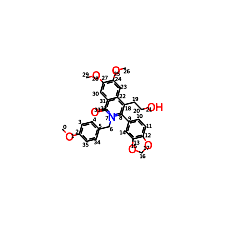 COc1ccc(Cn2c(-c3ccc4c(c3)OCO4)c(CCO)c3cc(OC)c(OC)cc3c2=O)cc1